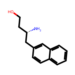 N[C@@H](CCO)Cc1ccc2ccccc2c1